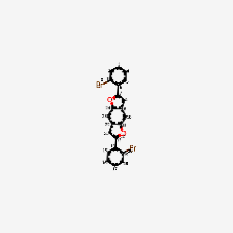 Brc1ccccc1-c1cc2cc3oc(-c4ccccc4Br)cc3cc2o1